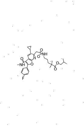 CNC(=O)c1c(-c2ccc(F)cc2)oc2nc(CS(=O)(=O)NCCCC(C)(C)C(=O)OCC(C)C)c(C3CC3)cc12